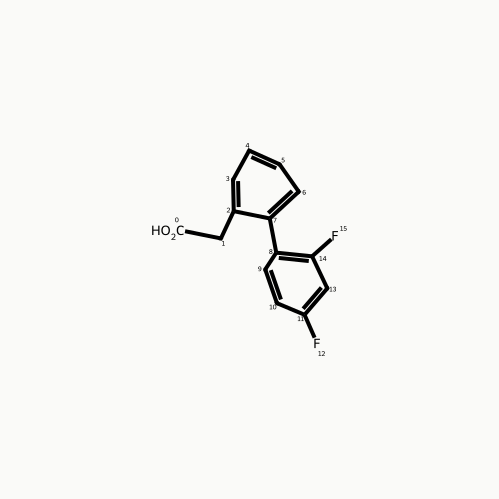 O=C(O)Cc1ccccc1-c1ccc(F)cc1F